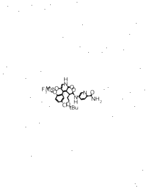 COc1c[nH]c(=O)c(C(CCOC(C)(C)C)C(=O)Nc2ccc(C(N)=O)nc2)c1-c1cc(Cl)ccc1OCC(F)(F)F